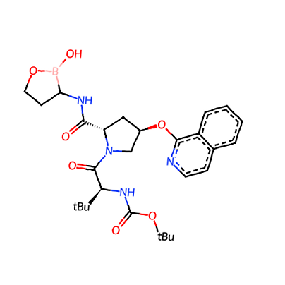 CC(C)(C)OC(=O)N[C@H](C(=O)N1C[C@H](Oc2nccc3ccccc23)C[C@H]1C(=O)NC1CCOB1O)C(C)(C)C